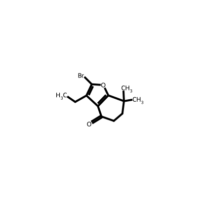 CCc1c(Br)oc2c1C(=O)CCC2(C)C